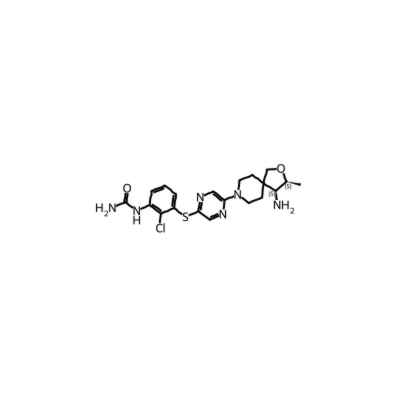 C[C@@H]1OCC2(CCN(c3cnc(Sc4cccc(NC(N)=O)c4Cl)cn3)CC2)[C@@H]1N